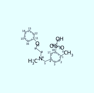 Cc1ccc(CN(C)CCOc2ccccc2)cc1S(=O)(=O)O